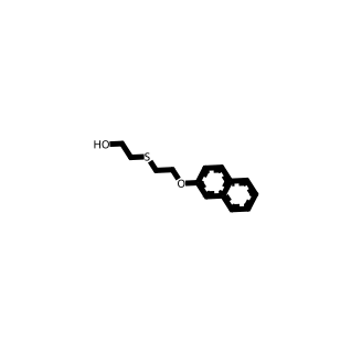 OCCSCCOc1[c]c2ccccc2cc1